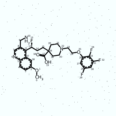 COc1ccc2ncc(CN)c([C@@H](F)CCC3(C(=O)O)CCN(CCOc4cc(F)cc(F)c4F)CC3)c2c1